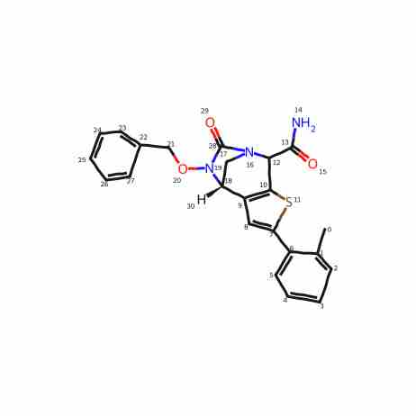 Cc1ccccc1-c1cc2c(s1)C(C(N)=O)N1C[C@H]2N(OCc2ccccc2)C1=O